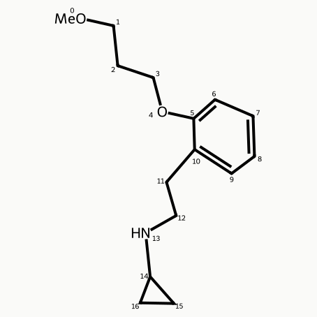 COCCCOc1ccccc1CCNC1CC1